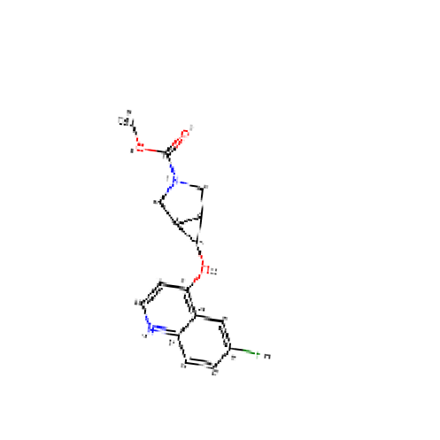 CC(C)(C)OC(=O)N1CC2C(C1)C2Oc1ccnc2ccc(F)cc12